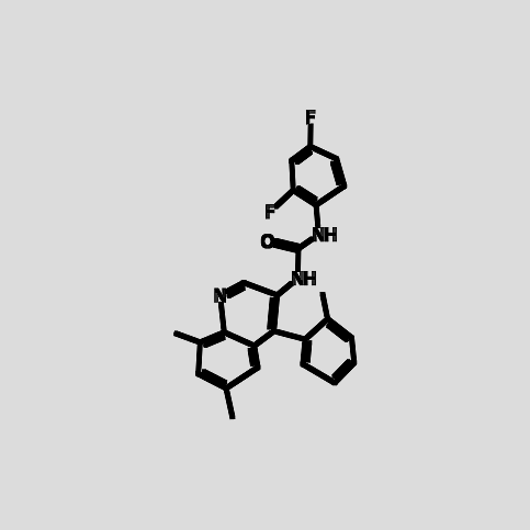 Cc1cc(C)c2ncc(NC(=O)Nc3ccc(F)cc3F)c(-c3ccccc3C)c2c1